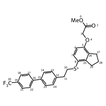 COC(=O)COc1ccc(SCCc2ccc(-c3ccc(C(F)(F)F)cc3)cc2)c2c1CCC2